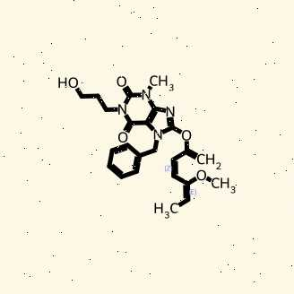 C=C(/C=C\C(=C/C)OC)Oc1nc2c(c(=O)n(CCCO)c(=O)n2C)n1Cc1ccccc1